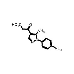 Cc1c(C(=O)CC(=O)O)cnn1-c1ccc([N+](=O)[O-])cc1